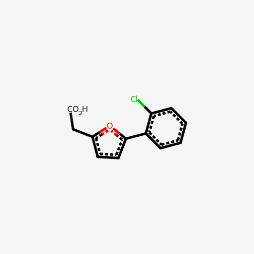 O=C(O)Cc1ccc(-c2ccccc2Cl)o1